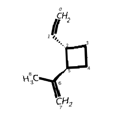 C=C[C@@H]1CC[C@H]1C(=C)C